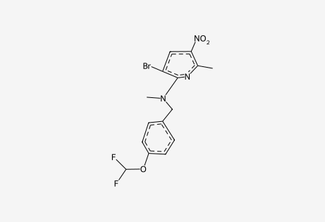 Cc1nc(N(C)Cc2ccc(OC(F)F)cc2)c(Br)cc1[N+](=O)[O-]